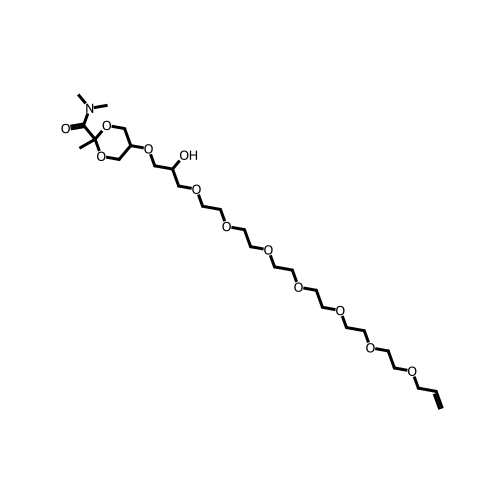 C=CCOCCOCCOCCOCCOCCOCCOCC(O)COC1COC(C)(C(=O)N(C)C)OC1